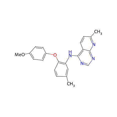 COc1ccc(Oc2ccc(C)cc2Nc2ncnc3nc(C)ccc23)cc1